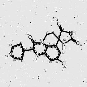 O=C1NC(=O)C2(CCn3c(=O)c(-c4ccncc4)nc4cc(Cl)cc2c43)N1